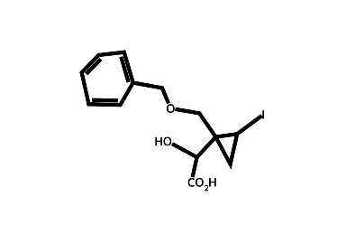 O=C(O)C(O)C1(COCc2ccccc2)CC1I